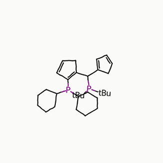 CC(C)(C)P(C(C1=CC=CC1)C1=C(P(C2CCCCC2)C2CCCCC2)C=CC1)C(C)(C)C